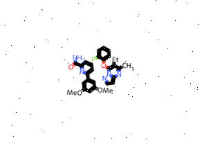 CCc1c(C)nc2ccnn2c1Oc1ccccc1F.COc1cc(OC)cc(-c2cccc(C(N)=O)n2)c1